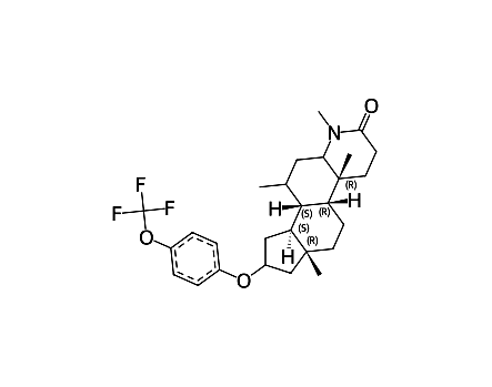 CC1CC2N(C)C(=O)CC[C@]2(C)[C@@H]2CC[C@]3(C)CC(Oc4ccc(OC(F)(F)F)cc4)C[C@H]3[C@H]12